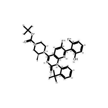 C[C@H]1CN(C(=O)OC(C)(C)C)CCN1c1nc(=O)n(-c2ccccc2C(C)(C)C)c2nc(-c3c(O)cccc3F)c(F)cc12